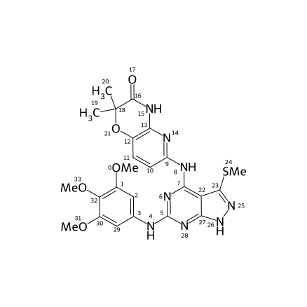 COc1cc(Nc2nc(Nc3ccc4c(n3)NC(=O)C(C)(C)O4)c3c(SC)n[nH]c3n2)cc(OC)c1OC